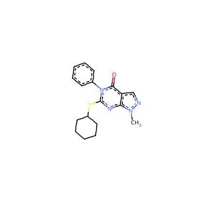 Cn1ncc2c(=O)n(-c3ccccc3)c(SC3CCCCC3)nc21